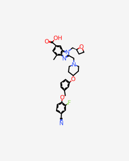 Cc1cc(C(=O)O)cc2c1nc(CN1CCC(Oc3cccc(COc4ccc(C#N)cc4F)c3)CC1)n2C[C@@H]1CCO1